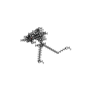 CCCCCCCC/C=C\CCCCCCCCCCCCCCCC(=O)N[C@@H](CO[C@@H]1OC(CO)[C@@H](O[C@@H]2OC(CO)[C@H](O)[C@H](O[C@@H]3OC(CO)[C@@H](O[C@@H]4OC(CO)[C@H](O)[C@H](O[C@]5(C(=O)O)CC(O)[C@@H](NC(=O)CO)C([C@H](O)[C@H](O)CO)O5)C4O)[C@H](O)C3NC(C)=O)C2O)[C@H](O)C1O)[C@H](O)/C=C/CCCCCCCCCCCCC